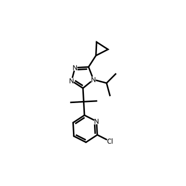 CC(C)n1c(C2CC2)nnc1C(C)(C)c1cccc(Cl)n1